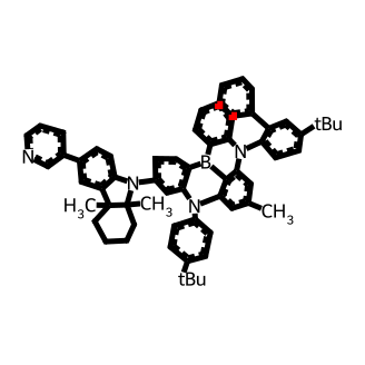 Cc1cc2c3c(c1)N(c1ccc(C(C)(C)C)cc1-c1ccccc1)c1ccccc1B3c1ccc(N3c4ccc(-c5cccnc5)cc4C4(C)CCCCC34C)cc1N2c1ccc(C(C)(C)C)cc1